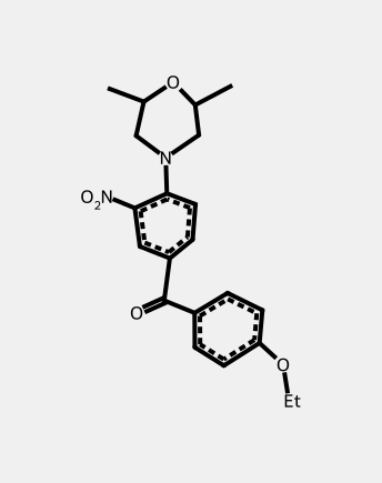 CCOc1ccc(C(=O)c2ccc(N3CC(C)OC(C)C3)c([N+](=O)[O-])c2)cc1